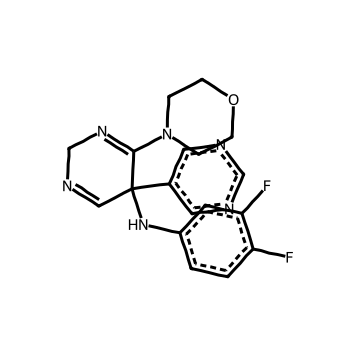 Fc1ccc(NC2(c3cncnc3)C=NCN=C2N2CCOCC2)cc1F